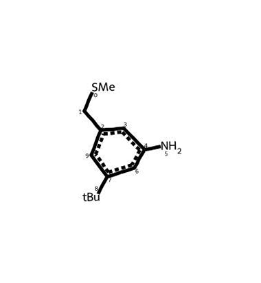 CSCc1cc(N)cc(C(C)(C)C)c1